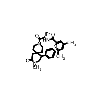 Cc1cc(C)nc(C(=O)N[C@@H](C(=O)N2CCC3(CC2)CC(=O)N(C)CC3c2ccccc2)C(C)C)c1